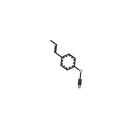 CC=Cc1ccc(OC#N)cc1